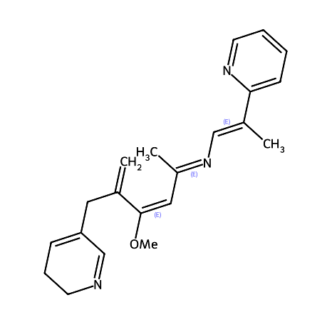 C=C(CC1=CCCN=C1)\C(=C/C(C)=N/C=C(\C)c1ccccn1)OC